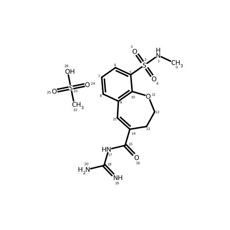 CNS(=O)(=O)c1cccc2c1OCCC(C(=O)NC(=N)N)=C2.CS(=O)(=O)O